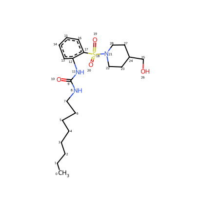 CCCCCCCCNC(=O)Nc1ccccc1S(=O)(=O)N1CCC(CO)CC1